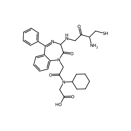 NC(CS)C(=O)CNC1N=C(c2ccccc2)c2ccccc2N(CC(=O)N(CC(=O)O)C2CCCCC2)C1=O